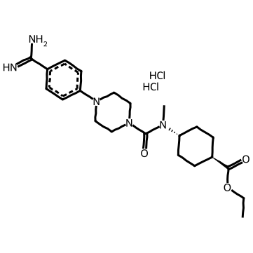 CCOC(=O)[C@H]1CC[C@H](N(C)C(=O)N2CCN(c3ccc(C(=N)N)cc3)CC2)CC1.Cl.Cl